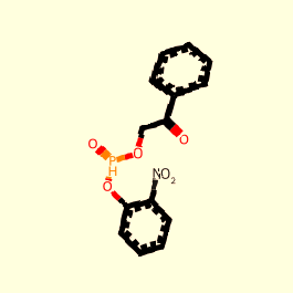 O=C(CO[PH](=O)Oc1ccccc1[N+](=O)[O-])c1ccccc1